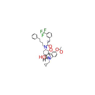 CC(=O)Oc1ccc2c3c1OC1C(N(CCCCc4ccccc4)C(=O)/C=C/c4cccc(C(F)(F)F)c4)CC[C@@]4(O)[C@@H](C2)N(CC2CC2)CC[C@]314